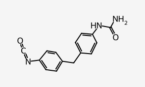 NC(=O)Nc1ccc(Cc2ccc(N=C=O)cc2)cc1